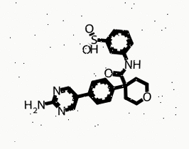 Nc1ncc(-c2ccc(C3(C(=O)Nc4cccc([SH](=O)=O)c4)CCOCC3)cc2)cn1